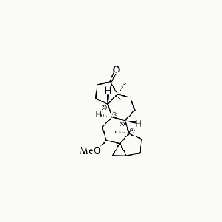 COC1C[C@H]2[C@@H]3CCC(=O)[C@@]3(C)CC[C@@H]2[C@@]2(C)CCC3CC312